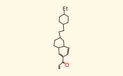 C=CC(=O)C1=CC2CCC(CCC3CCC(CC)CC3)CC2C=C1